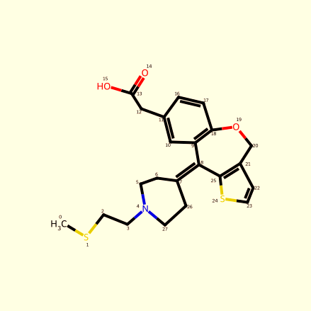 CSCCN1CCC(=C2c3cc(CC(=O)O)ccc3OCc3ccsc32)CC1